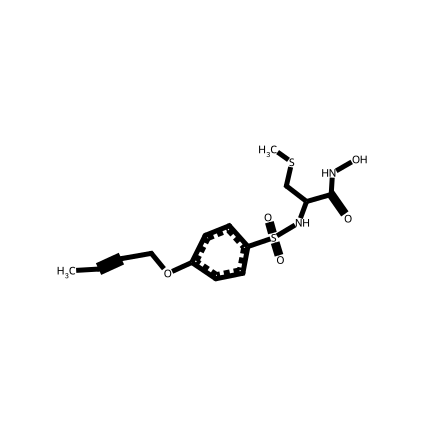 CC#CCOc1ccc(S(=O)(=O)NC(CSC)C(=O)NO)cc1